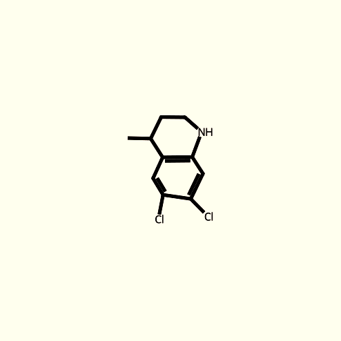 CC1CCNc2cc(Cl)c(Cl)cc21